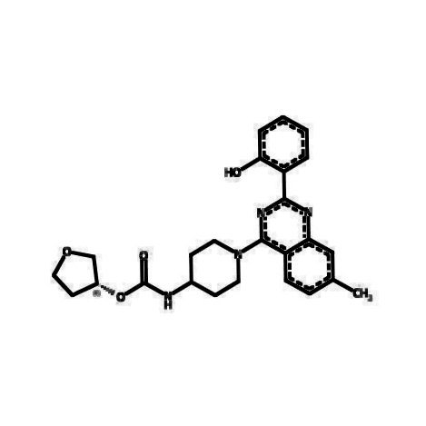 Cc1ccc2c(N3CCC(NC(=O)O[C@@H]4CCOC4)CC3)nc(-c3ccccc3O)nc2c1